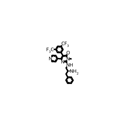 Cn1c(NC[C@@H](N)Cc2ccccc2)nc(-c2ccncc2)c(-c2cc(C(F)(F)F)cc(C(F)(F)F)c2)c1=O